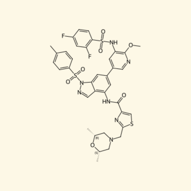 COc1ncc(-c2cc(NC(=O)c3csc(CN4C[C@@H](C)O[C@@H](C)C4)n3)c3cnn(S(=O)(=O)c4ccc(C)cc4)c3c2)cc1NS(=O)(=O)c1ccc(F)cc1F